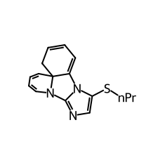 CCCSc1cnc2n1C1=CC=CCC13C=CC=CN23